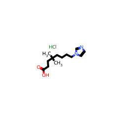 CC(C)(CCCCn1ccnc1)CCC(=O)O.Cl